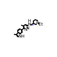 CCN1CCC/C(=C\Nc2cc(C)c(-c3ccc4c(C)c[nH]c4c3)nn2)C1